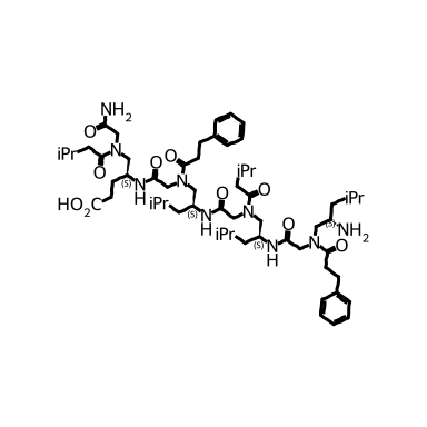 CC(C)CC(=O)N(CC(N)=O)C[C@H](CCC(=O)O)NC(=O)CN(C[C@H](CC(C)C)NC(=O)CN(C[C@H](CC(C)C)NC(=O)CN(C[C@@H](N)CC(C)C)C(=O)CCc1ccccc1)C(=O)CC(C)C)C(=O)CCc1ccccc1